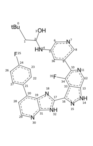 CC(C)(C)CC(O)Nc1cncc(-c2ncc3[nH]nc(-c4nc5c(-c6ccc(F)cc6)ccnc5[nH]4)c3c2F)c1